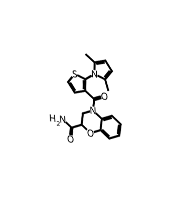 Cc1ccc(C)n1-c1sccc1C(=O)N1CC(C(N)=O)Oc2ccccc21